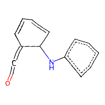 O=C=C1C=CC=CC1Nc1ccccc1